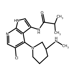 CNC1CCCN(c2c(Cl)cnc3[nH]cc(NC(=O)C(C)C)c23)C1